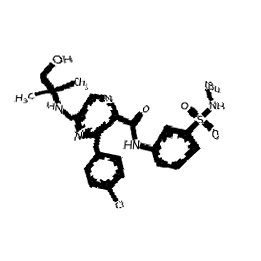 CC(C)(C)NS(=O)(=O)c1cccc(NC(=O)c2ncc(NC(C)(C)CO)nc2-c2ccc(Cl)cc2)c1